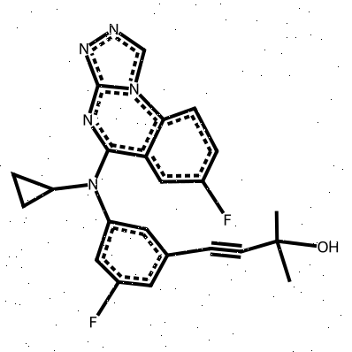 CC(C)(O)C#Cc1cc(F)cc(N(c2nc3nncn3c3ccc(F)cc23)C2CC2)c1